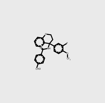 O=Cc1ccc(C(=O)NC2(c3ccc(OC(F)(F)F)c(F)c3)CCOc3cccnc32)cc1